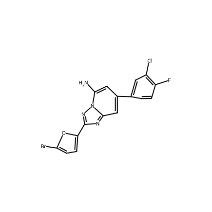 Nc1cc(-c2ccc(F)c(Cl)c2)cc2nc(-c3ccc(Br)o3)nn12